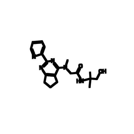 CN(CC(=O)NC(C)(C)CO)c1nc(-c2ccccn2)nc2c1CCC2